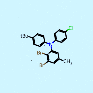 Cc1cc(Br)c(Br)c(N(c2ccc(Cl)cc2)c2ccc(C(C)(C)C)cc2)c1